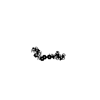 COC(=O)N[C@H](C(=O)N1C[Si](C)(C)CC1c1ncc(-c2ccc(-c3ccc4c(ccc5nc([C@@H]6CCCN6C(=O)[C@@H](NC(=O)OC)C(C)C)[nH]c54)c3)cc2)[nH]1)C(C)C